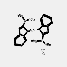 CCCCP(CCCC)C1=Cc2ccccc2[CH]1[Hf+2][CH]1C(P(CCCC)CCCC)=Cc2ccccc21.[Cl-].[Cl-]